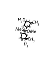 CO[Si](OC)(C1CC(C)CC(C)C1)C1CCCC(C)(C)C1